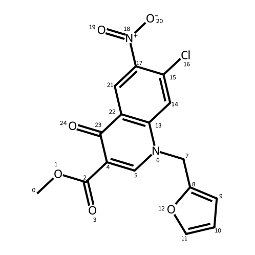 COC(=O)c1cn(Cc2ccco2)c2cc(Cl)c([N+](=O)[O-])cc2c1=O